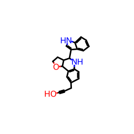 OC#CCc1ccc2c(c1)C1OCCC1C(c1c[nH]c3ccccc13)N2